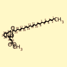 CCC=CCC=CCC=CCC=CCC=CCC=CCCC(=O)NCC1CCCN1C(=O)C=CC(=O)OC